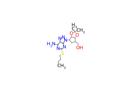 CCCCSc1nc(N)c2nnn(C3CC(CO)C4OC(C)(C)OC43)c2n1